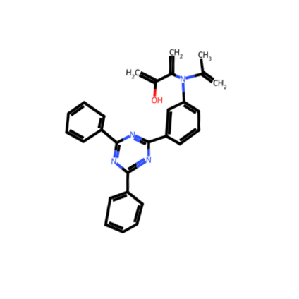 C=C(O)C(=C)N(C(=C)C)c1cccc(-c2nc(-c3ccccc3)nc(-c3ccccc3)n2)c1